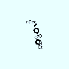 CCCCCCCCCCCC[C@H]1CC[C@H](C(=O)Oc2ccc(CC)nc2)CC1